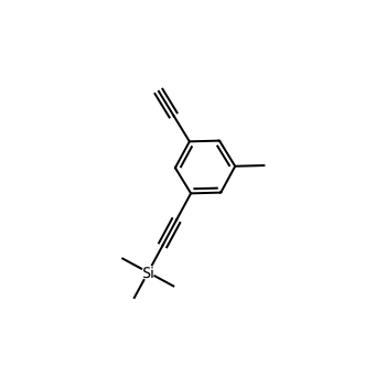 C#Cc1cc(C)cc(C#C[Si](C)(C)C)c1